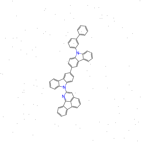 c1ccc(-c2cccc(-n3c4ccccc4c4cc(-c5ccc6c(c5)c5ccccc5n6-c5cc6cccc7c6c(n5)-c5ccccc5-7)ccc43)c2)cc1